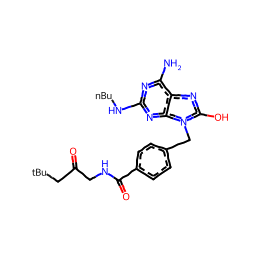 CCCCNc1nc(N)c2nc(O)n(Cc3ccc(C(=O)NCC(=O)CC(C)(C)C)cc3)c2n1